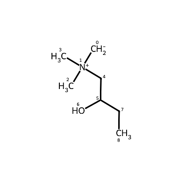 [CH2-][N+](C)(C)CC(O)CC